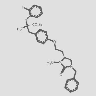 CCOC(=O)[C@@](C)(Cc1ccc(OCC[C@H]2CN(Cc3ccccc3)C(=O)N2C)cc1)Oc1ccccc1F